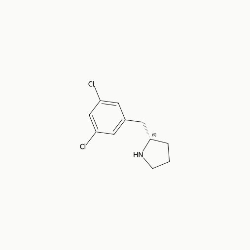 Clc1cc(Cl)cc(C[C@@H]2CCCN2)c1